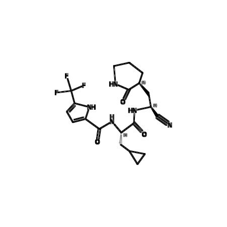 N#C[C@H](C[C@@H]1CCCNC1=O)NC(=O)[C@H](CC1CC1)NC(=O)c1ccc(C(F)(F)F)[nH]1